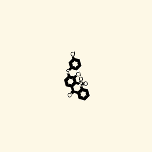 O=C1c2ccccc2S(=O)(=O)c2c1ccc(Sc1cccc(Cl)c1)c2Cl